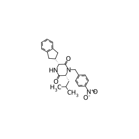 CC(C)C[C@@H]1C(=O)N[C@H](C2Cc3ccccc3C2)C(=O)N1Cc1ccc([N+](=O)[O-])cc1